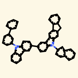 c1ccc(-c2cccc(-n3c4ccccc4c4cc(-c5ccc6c(c5)c5cc7c(cc5n6-c5ccc6ccccc6c5)Cc5ccccc5-7)ccc43)c2)cc1